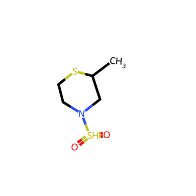 CC1CN([SH](=O)=O)CCS1